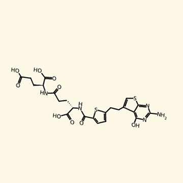 Nc1nc(O)c2c(CCc3ccc(C(=O)N[C@@H](CCC(=O)N[C@@H](CCC(=O)O)C(=O)O)C(=O)O)s3)csc2n1